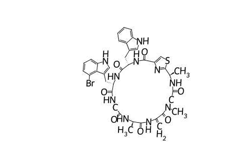 C=C1NC(=O)[C@@H](C)NC(=O)CNC(=O)[C@H](Cc2c[nH]c3cccc(Br)c23)NC(=O)[C@H](Cc2c[nH]c3ccccc23)NC(=O)c2csc(n2)[C@@H](C)NC(=O)CN(C)C1=O